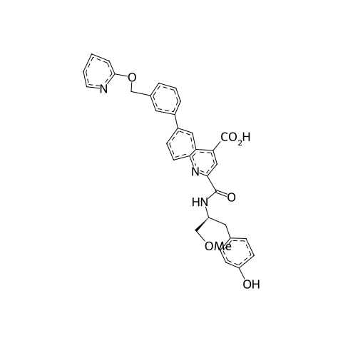 COC[C@H](Cc1ccc(O)cc1)NC(=O)c1cc(C(=O)O)c2cc(-c3cccc(COc4ccccn4)c3)ccc2n1